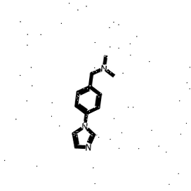 CN(C)Cc1ccc(-n2[c]ncc2)cc1